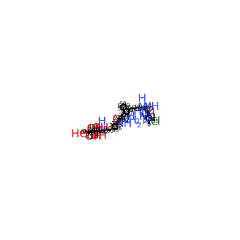 Cc1nc(N)c(C(=O)NC(=N)NCCCCc2ccc(C[C@H](N)C(=O)Nc3ccc(CCCNC[C@H](O)[C@@H](O)[C@H](O)[C@H](O)CO)cc3)c3c2CCCC3)nc1Cl